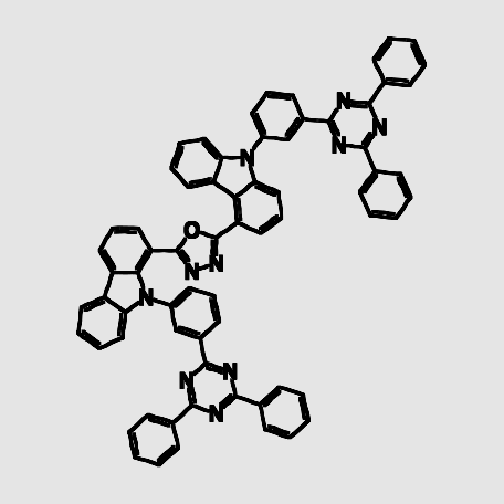 c1ccc(-c2nc(-c3ccccc3)nc(-c3cccc(-n4c5ccccc5c5c(-c6nnc(-c7cccc8c9ccccc9n(-c9cccc(-c%10nc(-c%11ccccc%11)nc(-c%11ccccc%11)n%10)c9)c78)o6)cccc54)c3)n2)cc1